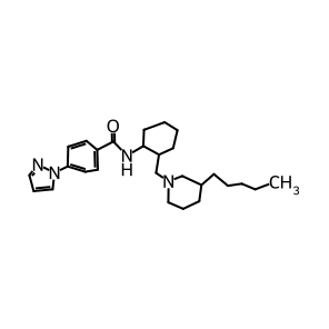 CCCCCC1CCCN(CC2CCCCC2NC(=O)c2ccc(-n3cccn3)cc2)C1